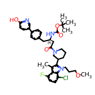 COCCCn1c(C2CCCN(C(=O)C[C@@H](Cc3ccc(-c4ccc(O)nc4)cc3)NC(=O)OC(C)(C)C)C2)c(C)c2c(F)ccc(Cl)c21